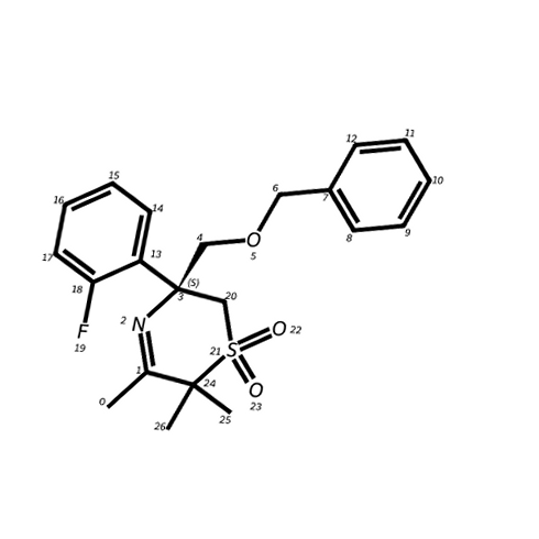 CC1=N[C@](COCc2ccccc2)(c2ccccc2F)CS(=O)(=O)C1(C)C